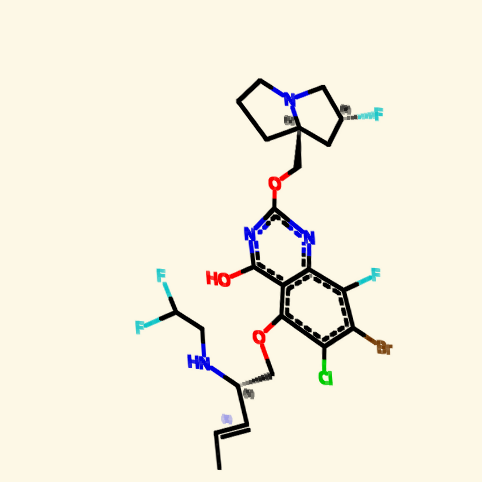 C/C=C/[C@@H](COc1c(Cl)c(Br)c(F)c2nc(OC[C@@]34CCCN3C[C@H](F)C4)nc(O)c12)NCC(F)F